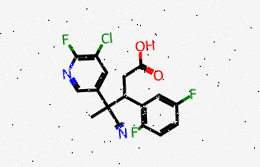 CC(C#N)(c1cnc(F)c(Cl)c1)C(CC(=O)O)c1cc(F)ccc1F